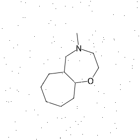 CN1CCOC2CCCCCC2C1